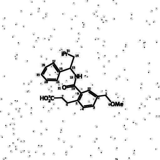 COCc1ccc(CCC(=O)O)c(C(=O)NC(CC(C)C)c2ccccc2)c1